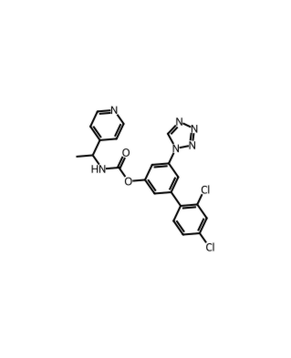 CC(NC(=O)Oc1cc(-c2ccc(Cl)cc2Cl)cc(-n2cnnn2)c1)c1ccncc1